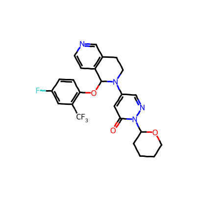 O=c1cc(N2CCc3cnccc3C2Oc2ccc(F)cc2C(F)(F)F)cnn1C1CCCCO1